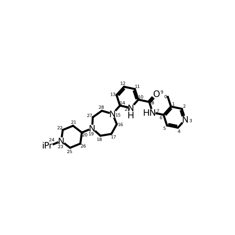 Cc1cnccc1NC(=O)C1=CC=CC(N2CCCN(C3CCN(C(C)C)CC3)CC2)N1